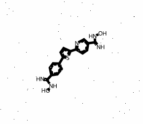 N=C(NO)c1ccc(-c2ccc(-c3ccc(C(=N)NO)cn3)s2)cc1